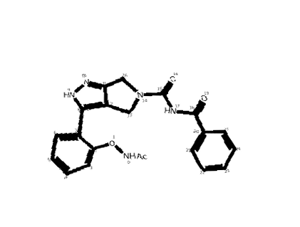 CC(=O)NOc1ccccc1-c1[nH]nc2c1CN(C(=O)NC(=O)c1ccccc1)C2